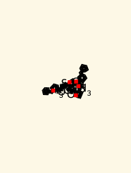 CC(C(=O)C(C)c1ccccc1-c1nc(C(=O)N2CCCC(Cc3ccccc3)C2)cs1)c1ccccc1-c1nc(C(=O)N2CCCC(Cc3ccccc3)C2)cs1